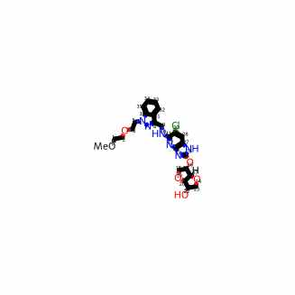 COCCOCCn1nc(CNc2nc3nc(O[C@@H]4COC5[C@H](O)CO[C@@H]54)[nH]c3cc2Cl)c2ccccc21